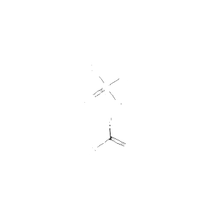 CCCCCC(N)=O.O=P(O)(O)O